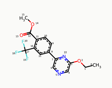 CCOc1cncc(-c2ccc(C(=O)OC)c(C(F)(F)F)c2)n1